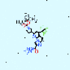 CC(C)(C)OC(=O)N1CCC(c2cc(C(F)(F)C(F)(F)F)c3ccc4nc(C(=O)NN)cn4c3n2)C1